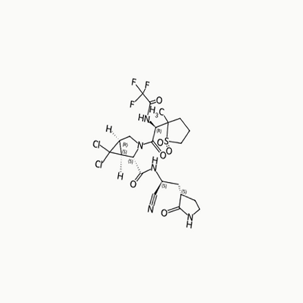 CC1([C@H](NC(=O)C(F)(F)F)C(=O)N2C[C@H]3[C@@H]([C@H]2C(=O)N[C@H](C#N)C[C@@H]2CCNC2=O)C3(Cl)Cl)CCCS1(=O)=O